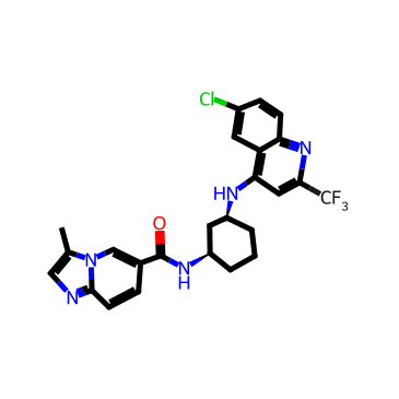 Cc1cnc2ccc(C(=O)N[C@@H]3CCC[C@H](Nc4cc(C(F)(F)F)nc5ccc(Cl)cc45)C3)cn12